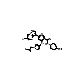 O=C(N[C@H]1CC[C@H](O)CC1)c1cnc(-c2cnn3cc(Cl)cnc23)cc1Nc1cnn(CC(F)F)c1